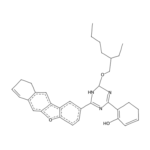 CCCCC(CC)COC1N=C(C2=C(O)C=CCC2)N=C(c2ccc3oc4cc5c(cc4c3c2)CCC=C5)N1